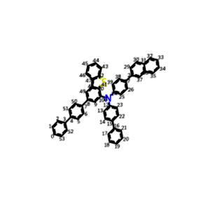 c1ccc(-c2ccc(-c3cc(N(c4ccc(-c5ccccc5)cc4)c4ccc(-c5ccc6ccccc6c5)cc4)c4sc5ccccc5c4c3)cc2)cc1